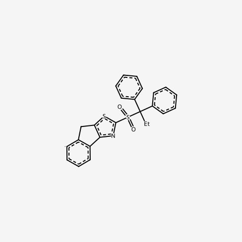 CCC(c1ccccc1)(c1ccccc1)S(=O)(=O)c1nc2c(s1)Cc1[c]cccc1-2